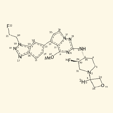 [2H]C1(N2CC[C@@H](Nc3nc(OC)c4c(-c5ccc6nnn(CCF)c6c5)ccn4n3)[C@H](F)C2)COC1